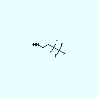 [NH]CCC(F)(F)C(F)(F)F